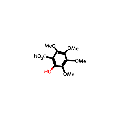 COc1c(O)c(C(=O)O)c(OC)c(OC)c1OC